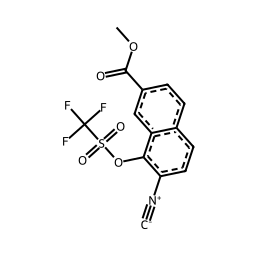 [C-]#[N+]c1ccc2ccc(C(=O)OC)cc2c1OS(=O)(=O)C(F)(F)F